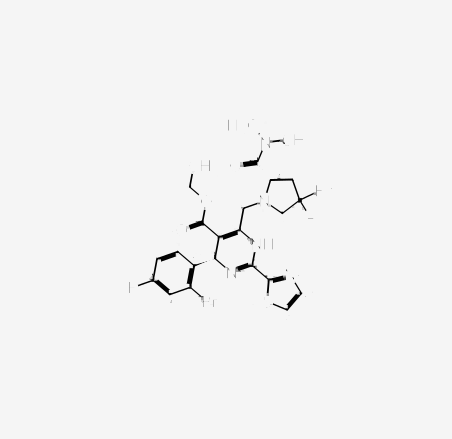 CCOC(=O)C1=C(CN2CC(F)(F)C[C@H]2C(=O)N(C)C)NC(c2nccs2)=N[C@H]1c1ccc(F)cc1Br